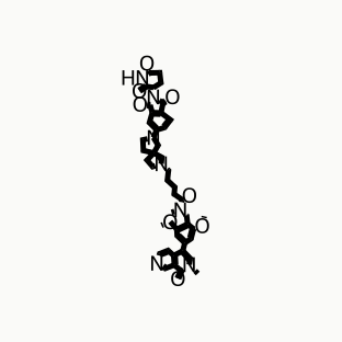 COc1cc(-c2cn(C)c(=O)c3cnccc23)cc(OC)c1CN(C)C(=O)CCCCN1CCC2(CCN(c3ccc4c(c3)C(=O)N(C3CCC(=O)NC3=O)C4=O)C2)C1